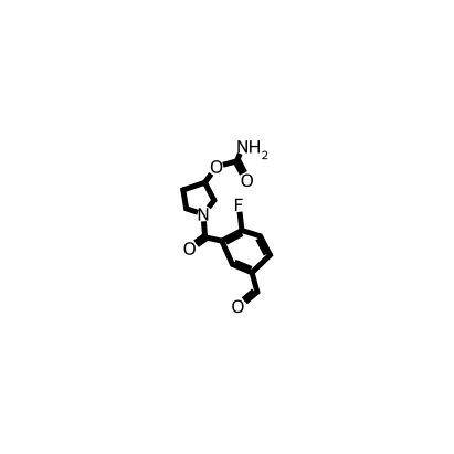 NC(=O)OC1CCN(C(=O)c2cc(C=O)ccc2F)C1